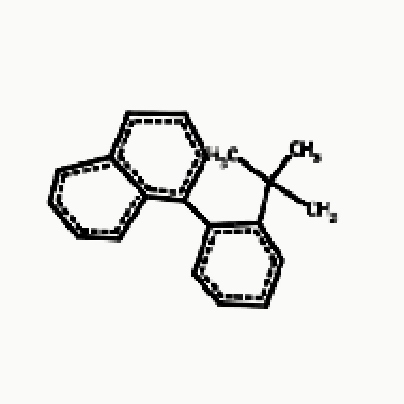 CC(C)(C)c1ccccc1-c1cccc2ccccc12